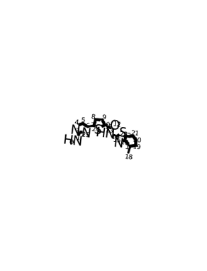 CNc1nccc(-c2ccc(C(=O)Nc3nc4c(C)cccc4s3)s2)n1